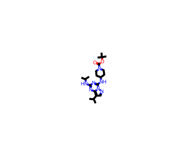 CC(C)Nc1nc(NC2CCN(C(=O)OC(C)(C)C)CC2)n2ncc(C(C)C)c2n1